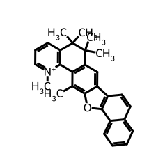 Cc1c2c(cc3c1oc1c4ccccc4ccc31)C(C)(C)C(C)(C)c1ccc[n+](C)c1-2